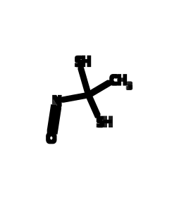 CC(S)(S)N=O